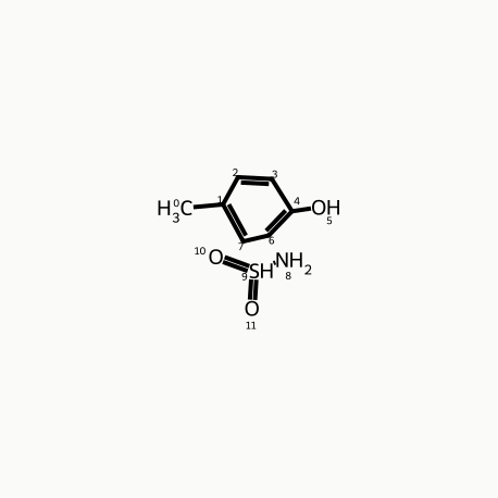 Cc1ccc(O)cc1.N[SH](=O)=O